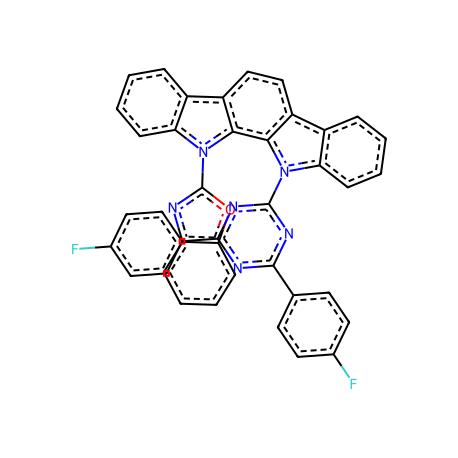 Fc1ccc(-c2nc(-c3ccc(F)cc3)nc(-n3c4ccccc4c4ccc5c6ccccc6n(-c6nc7ccccc7o6)c5c43)n2)cc1